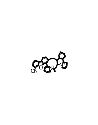 C=C1CC2C(CCc3ccc4c(oc5c(C#N)cccc54)c3-c3cccc[n+]31)c1ccccc1-c1cccc[n+]12